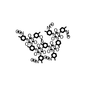 Cc1ccc(-n2c(=O)n(-c3ccc(C)c(N=C=O)c3)c(=O)n(-c3ccc(C)c(-n4c(=O)n(-c5ccc(C)c(N=C=O)c5)c(=O)n(-c5ccc(C)c(-n6c(=O)n(-c7ccc(C)c(N=C=O)c7)c(=O)n(-c7ccc(C)c(-n8c(=O)n(-c9ccc(C)c(N=C=O)c9)c(=O)n(-c9ccc(C)c(OC#N)c9)c8=O)c7)c6=O)c5)c4=O)c3)c2=O)cc1N=C=O